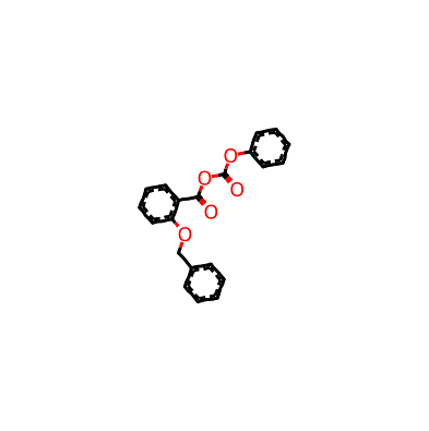 O=C(OC(=O)c1ccccc1OCc1ccccc1)Oc1ccccc1